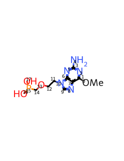 COc1nc(N)nc2c1ncn2CCOCP(O)O